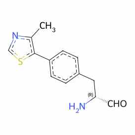 Cc1ncsc1-c1ccc(C[C@@H](N)C=O)cc1